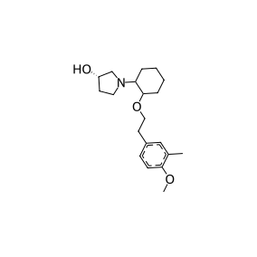 COc1ccc(CCOC2CCCCC2N2CC[C@H](O)C2)cc1C